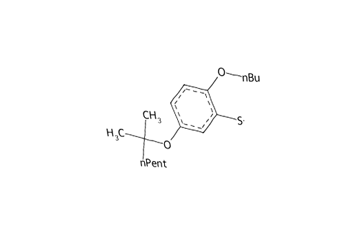 CCCCCC(C)(C)Oc1ccc(OCCCC)c([S])c1